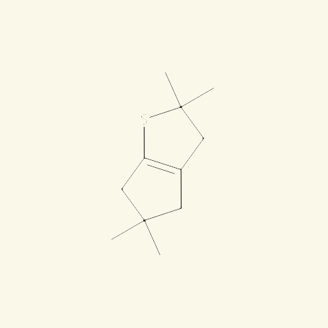 CC1(C)CC2=C(C1)SC(C)(C)C2